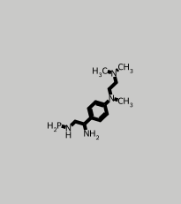 CN(C)CCN(C)c1ccc(C(N)CNP)cc1